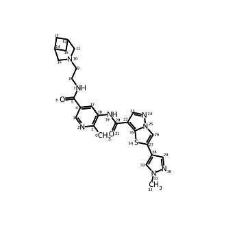 Cc1ncc(C(=O)NCCN2CC3CC(C3)C2)cc1NC(=O)c1cnn2cc(-c3cnn(C)c3)sc12